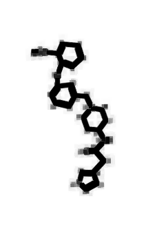 COc1ccccc1Oc1cccc(CN2CCC(NC(=O)Cc3ccsc3)CC2)c1